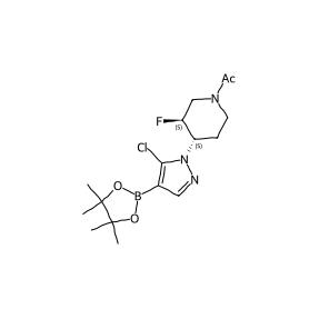 CC(=O)N1CC[C@H](n2ncc(B3OC(C)(C)C(C)(C)O3)c2Cl)[C@@H](F)C1